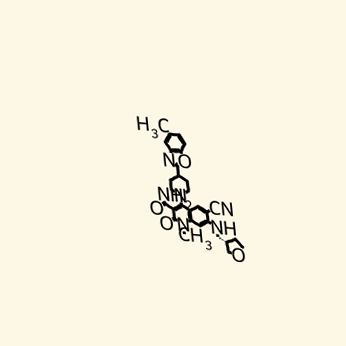 Cc1ccc2oc(C3CCN(c4c(C(N)=O)c(=O)n(C)c5cc(NC[C@@H]6CCOC6)c(C#N)cc45)CC3)nc2c1